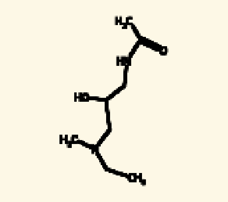 CCN(C)CC(O)CNC(C)=O